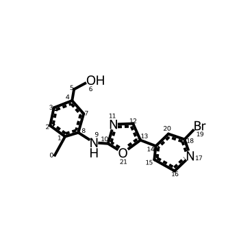 Cc1ccc(CO)cc1Nc1ncc(-c2ccnc(Br)c2)o1